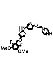 COc1cc(OC)c(F)c(COc2cnc(Nc3ccc(OCCN4CCNCC4)nc3)nc2)c1F